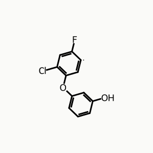 Oc1cccc(Oc2c[c]c(F)cc2Cl)c1